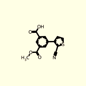 COC(=O)c1cc(C(=O)O)cc(-c2ccsc2C#N)c1